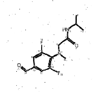 CC(C)NC(=O)CN(C)c1c(F)cc(C=O)cc1F